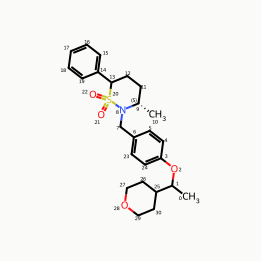 CC(Oc1ccc(CN2[C@@H](C)CCC(c3ccccc3)S2(=O)=O)cc1)C1CCOCC1